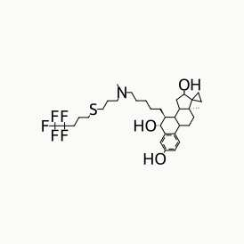 CN(CCCCC[C@H]1C2C(CC[C@@]3(C)C2C[C@@H](O)C32CC2)c2ccc(O)cc2[C@@H]1O)CCCSCCCC(F)(F)C(F)(F)F